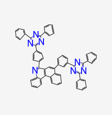 c1ccc(-c2nc(-c3ccccc3)nc(-c3ccc(-c4nc5ccccc5c5c4cc(-c4cccc(-c6nc(-c7ccccc7)nc(-c7ccccc7)n6)c4)c4ccccc45)cc3)n2)cc1